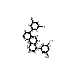 Ic1cc(I)cc(-c2ccnc3c2ccc2c(-c4cc(I)cc(I)c4)ccnc23)c1